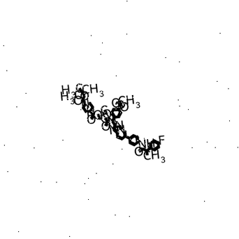 COc1cc(S(C)(=O)=O)ccc1N(C(=O)OCOC(=O)C1CCN(C(=O)OC(C)(C)C)CC1)c1nc2ccc(-c3ccc(NC(=O)C(C)c4ccc(F)cc4)cc3)cn2n1